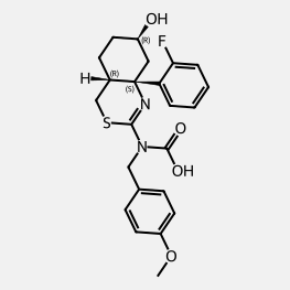 COc1ccc(CN(C(=O)O)C2=N[C@@]3(c4ccccc4F)C[C@H](O)CC[C@H]3CS2)cc1